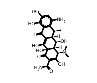 C[C@@H]1c2c(N)cc(C(C)(C)C)c(O)c2C(=O)C2=C(O)[C@@]3(O)C(=O)C(C(N)=O)=C(O)[C@H](N(C)C)[C@H]3[C@H](O)[C@H]21